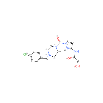 O=C(CO)Nc1ccn(C(=O)N2CCN(Cc3ccc(Cl)cc3)CC2)n1